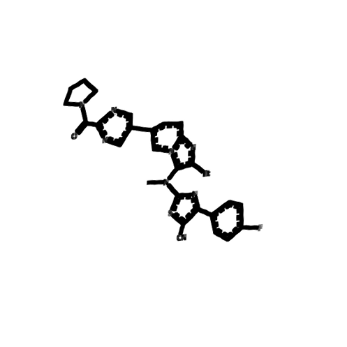 CCc1nc2ccc(-c3cnc(C(=O)N4CCCC4)nc3)cn2c1N(C)c1nc(-c2ccc(F)cc2)c(C#N)s1